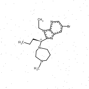 CCC[C@@H](c1nc2cc(Br)cnc2n1CC)N1CCCN(C)CC1